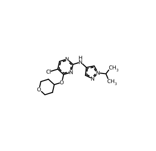 CC(C)n1cc(Nc2ncc(Cl)c(OC3CCOCC3)n2)cn1